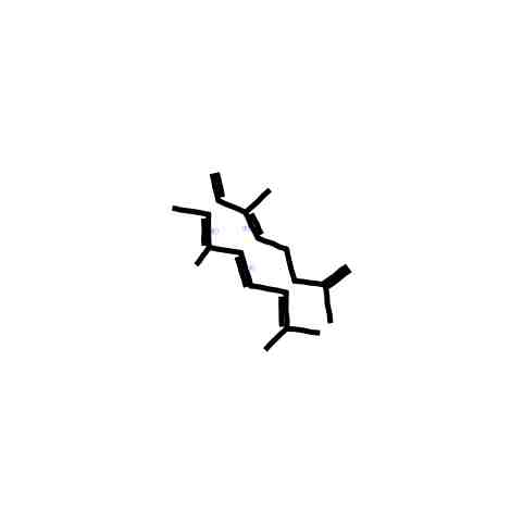 C/C=C(C)/C=C/C=C(C)C.C=C/C(C)=C/CCC(=C)C